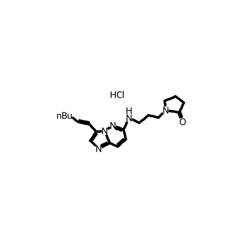 CCCC/C=C/c1cnc2ccc(NCCCN3CCCC3=O)nn12.Cl